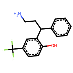 NCCC(c1ccccc1)c1cc(C(F)(F)F)ccc1O